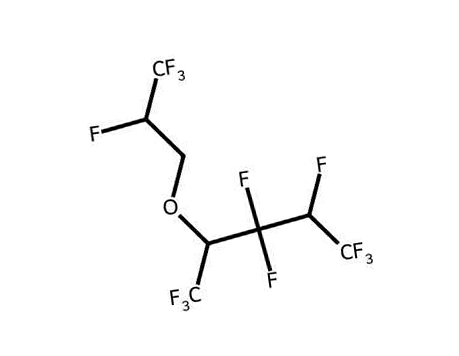 FC(COC(C(F)(F)F)C(F)(F)C(F)C(F)(F)F)C(F)(F)F